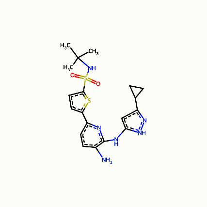 CC(C)(C)NS(=O)(=O)c1ccc(-c2ccc(N)c(Nc3cc(C4CC4)n[nH]3)n2)s1